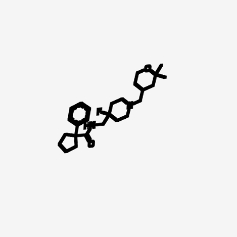 CC1(C)CC(CN2CCC(F)(CNC(=O)C3(c4ccccc4)CCCC3)CC2)CCO1